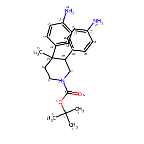 CC(C)(C)OC(=O)N1CCC(C)(c2ccc(N)cc2)C(c2ccc(N)cc2)C1